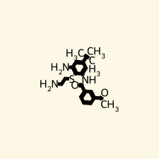 CC(=O)c1cccc(C(=O)Nc2cc(C(C)(C)C)cc(N)c2SCCN)c1